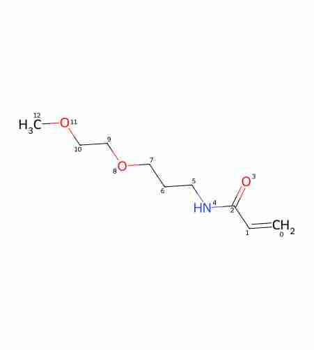 C=CC(=O)NCCCOCCOC